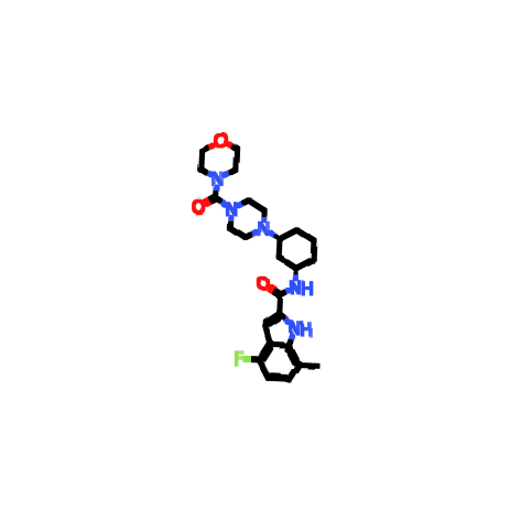 Cc1ccc(F)c2cc(C(=O)N[C@@H]3CCC[C@H](N4CCN(C(=O)N5CCOCC5)CC4)C3)[nH]c12